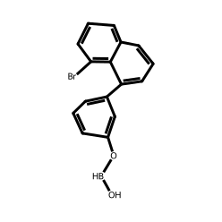 OBOc1cccc(-c2cccc3cccc(Br)c23)c1